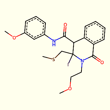 COCCN1C(=O)c2ccccc2C(C(=O)Nc2cccc(OC)c2)C1(I)CSC